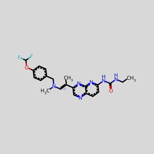 CCNC(=O)Nc1ccc2ncc(/C(C)=C/N(C)Cc3ccc(OC(F)F)cc3)nc2n1